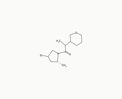 CCC1C[C@@H](C)N(C(=O)C(C)C2CCCOC2)C1